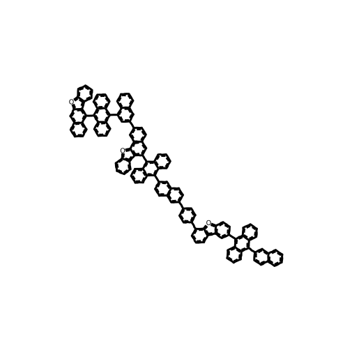 c1ccc2cc(-c3c4ccccc4c(-c4ccc5oc6c(-c7ccc(-c8ccc9cc(-c%10c%11ccccc%11c(-c%11cc%12ccc(-c%13cc(-c%14c%15ccccc%15c(-c%15c%16ccccc%16cc%16oc%17ccccc%17c%15%16)c%15ccccc%14%15)c%14ccccc%14c%13)cc%12c%12oc%13ccccc%13c%11%12)c%11ccccc%10%11)ccc9c8)cc7)cccc6c5c4)c4ccccc34)ccc2c1